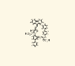 N[C@@H](Cc1ccc(-c2ccccc2)cc1)C(=O)O.O=C(N[C@@H](Cc1ccc(-c2ccccc2)cc1)C(=O)O)OCC1c2ccccc2-c2ccccc21